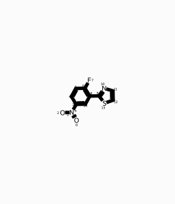 O=[N+]([O-])c1ccc(F)c(-c2nccs2)c1